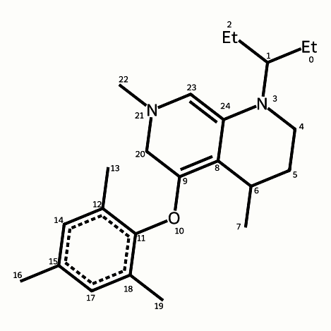 CCC(CC)N1CCC(C)C2=C(Oc3c(C)cc(C)cc3C)CN(C)C=C21